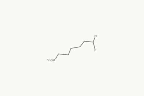 CCCCCCCCCCC([N])F